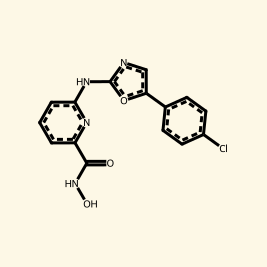 O=C(NO)c1cccc(Nc2ncc(-c3ccc(Cl)cc3)o2)n1